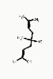 [C-]#[N+]C(C)(CC=C(C)C)CC=C(C)C